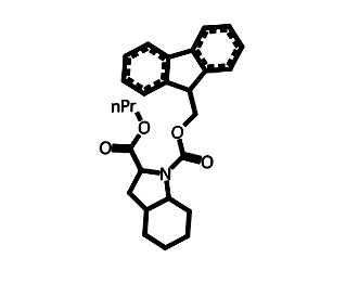 CCCOC(=O)C1CC2CCCCC2N1C(=O)OCC1c2ccccc2-c2ccccc21